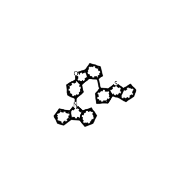 c1cc(-c2cccc3c2sc2ccccc23)c2c(c1)oc1ccc(-n3c4ccccc4c4ccccc43)cc12